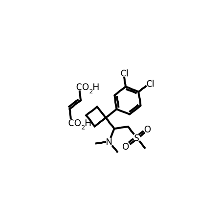 CN(C)C(CS(C)(=O)=O)C1(c2ccc(Cl)c(Cl)c2)CCC1.O=C(O)C=CC(=O)O